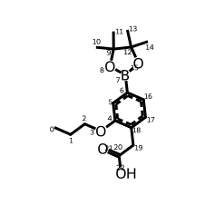 CCCOc1cc(B2OC(C)(C)C(C)(C)O2)ccc1CC(=O)O